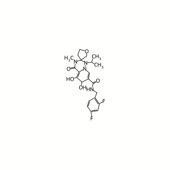 CC(C)N1N2C=C(C(=O)NCc3ccc(F)cc3F)C(O)C(O)=C2C(=O)N(C)C12CCOC2